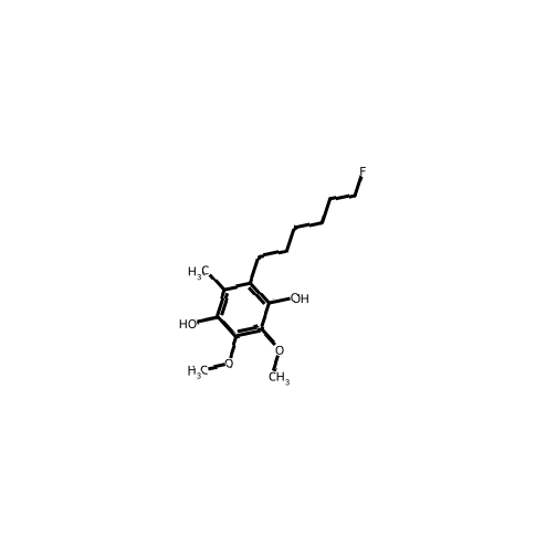 COc1c(O)c(C)c(CCCCCCF)c(O)c1OC